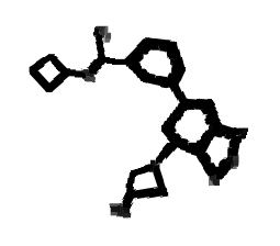 OC1CN(c2cc(-c3cccc(C(OC4CCC4)C(F)(F)F)c3)cc3nonc23)C1